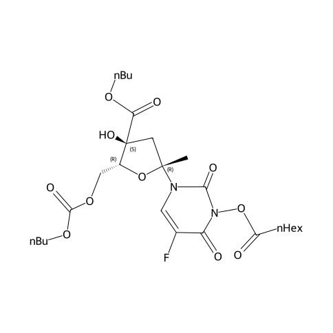 CCCCCCC(=O)On1c(=O)c(F)cn([C@@]2(C)C[C@@](O)(C(=O)OCCCC)[C@@H](COC(=O)OCCCC)O2)c1=O